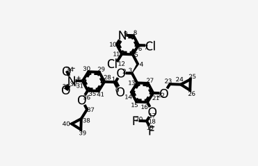 O=C(O[C@@H](Cc1c(Cl)cncc1Cl)c1ccc(OC(F)F)c(OCC2CC2)c1)c1ccc([N+](=O)[O-])c(OCC2CC2)c1